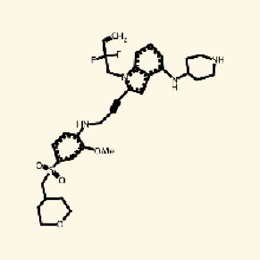 C=CC(F)(F)Cn1c(C#CCNc2ccc(S(=O)(=O)CC3CCOCC3)cc2OC)cc2c(NC3CCNCC3)cccc21